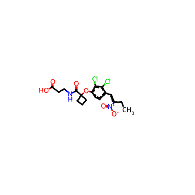 CCC(=Cc1ccc(OC2(C(=O)NCCC(=O)O)CCC2)c(Cl)c1Cl)[N+](=O)[O-]